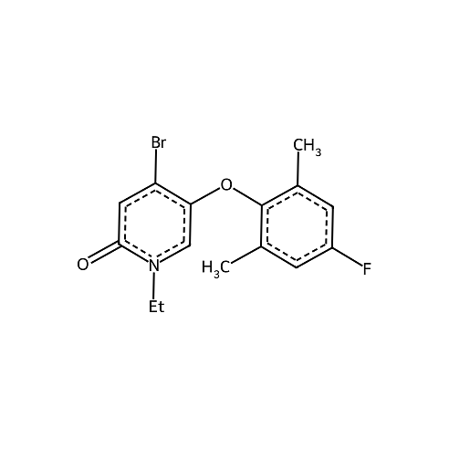 CCn1cc(Oc2c(C)cc(F)cc2C)c(Br)cc1=O